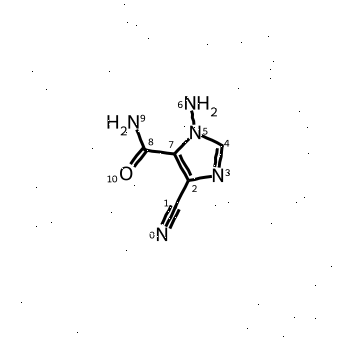 N#Cc1ncn(N)c1C(N)=O